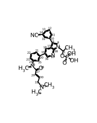 CC(OP(=O)(O)O)n1cc(-c2cccc(C#N)c2)c2cc(-c3cccc(N(C)C(=O)C=CCN(C)C)c3)cnc21